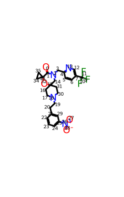 O=C1N(Cc2ccc(C(F)(F)F)cn2)CC2(CCN(CCc3cccc([N+](=O)[O-])c3)CC2)OC12CC2